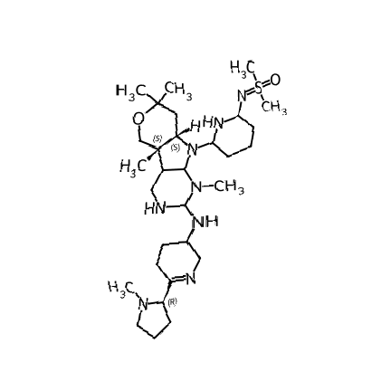 CN1C(NC2CCC([C@H]3CCCN3C)=NC2)NCC2C1N(C1CCCC(N=S(C)(C)=O)N1)[C@H]1CC(C)(C)OC[C@@]21C